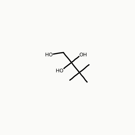 CC(C)(C)C(O)(O)CO